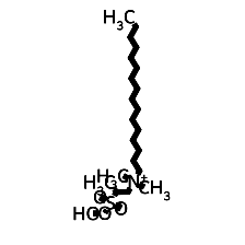 CCCCCCCCCCCCCCCC[N+](C)(C)CC(C)S(=O)(=O)OO